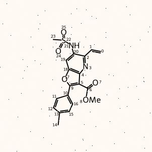 C=Cc1nc2c(C(=O)OC)c(-c3ccc(C)cc3)oc2cc1NS(C)(=O)=O